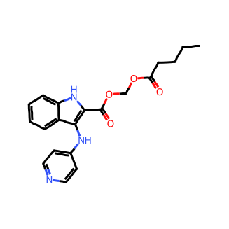 CCCCC(=O)OCOC(=O)c1[nH]c2ccccc2c1Nc1ccncc1